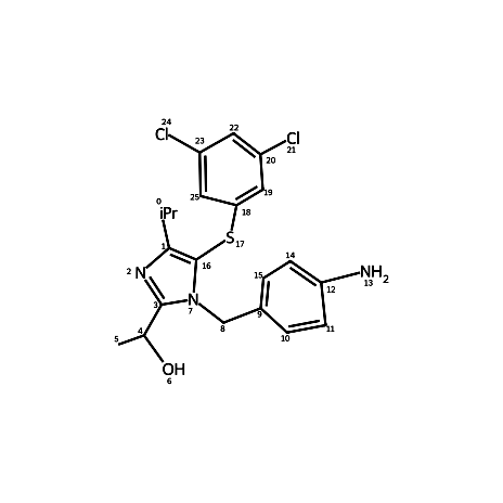 CC(C)c1nc(C(C)O)n(Cc2ccc(N)cc2)c1Sc1cc(Cl)cc(Cl)c1